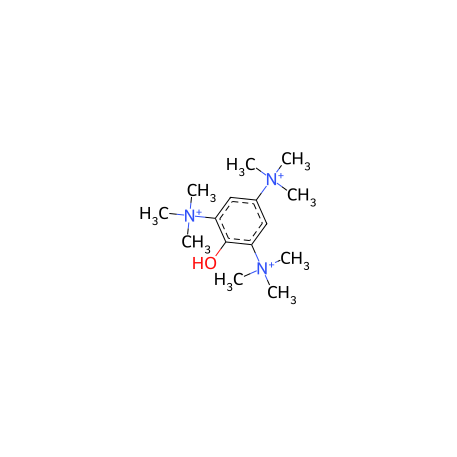 C[N+](C)(C)c1cc([N+](C)(C)C)c(O)c([N+](C)(C)C)c1